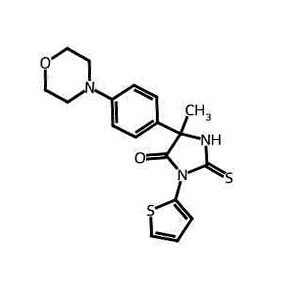 CC1(c2ccc(N3CCOCC3)cc2)NC(=S)N(c2cccs2)C1=O